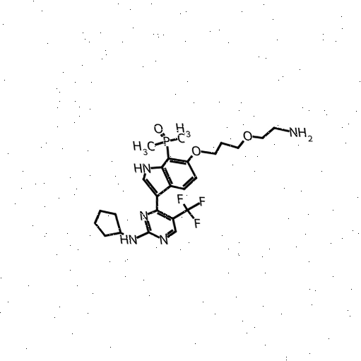 CP(C)(=O)c1c(OCCCOCCN)ccc2c(-c3nc(NC4CCCC4)ncc3C(F)(F)F)c[nH]c12